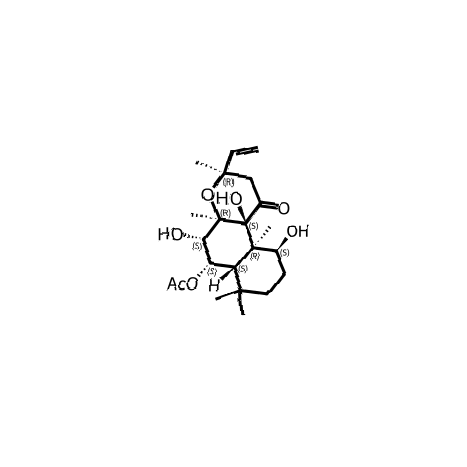 C=C[C@@]1(C)CC(=O)[C@]2(O)[C@@]3(C)[C@@H](O)CCC(C)(C)[C@@H]3[C@H](OC(C)=O)[C@H](O)[C@@]2(C)O1